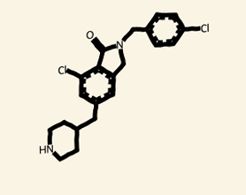 O=C1c2c(Cl)cc(CC3CCNCC3)cc2CN1Cc1ccc(Cl)cc1